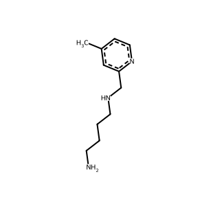 Cc1ccnc(CNCCCCN)c1